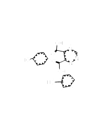 O=C(O)c1ncnnc1C(=O)O.Oc1ccccc1.Oc1ccccc1